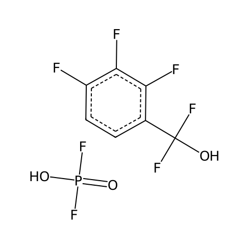 O=P(O)(F)F.OC(F)(F)c1ccc(F)c(F)c1F